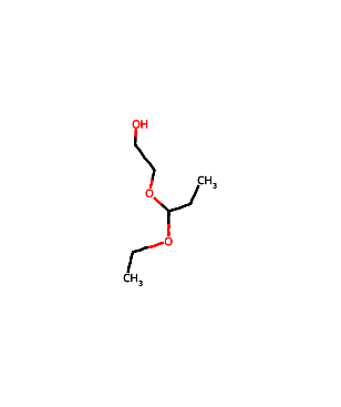 CCOC(CC)OCCO